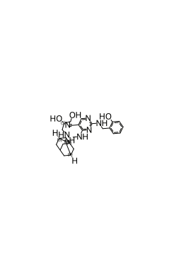 N#Cc1cnc(NCc2ccccc2O)nc1NC[C@@]12CC3C[C@H](C1)[C@@H](NC[C@H](O)CO)[C@@H](C3)C2